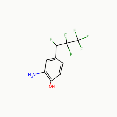 Nc1cc(C(F)C(F)(F)C(F)(F)F)ccc1O